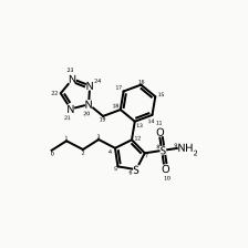 CCCCc1csc(S(N)(=O)=O)c1-c1ccccc1Cn1ncnn1